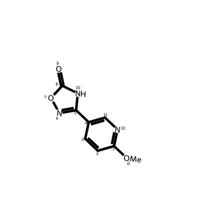 COc1ccc(-c2noc(=O)[nH]2)cn1